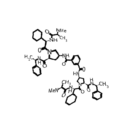 CN[C@@H](C)C(=O)N[C@H](C(=O)N1C[C@@H](NC(=O)c2cccc(C(=O)N[C@H]3C[C@@H](C(=O)N[C@H](C)c4ccccc4)N(C(=O)[C@@H](NC(=O)[C@H](C)NC)C4CCCCC4)C3)c2)C[C@H]1C(=O)N[C@H](C)c1ccccc1)C1CCCCC1